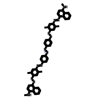 CNc1ccc(N=Nc2cc(C)c(N=Nc3ccc(/N=N/c4ccc(N=Nc5cc(C)c(N=Nc6ccc(NC)c7ccccc67)cc5C)cc4)cc3)cc2C)c2ccccc12